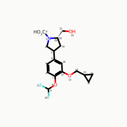 O=C(O)N1CC(c2ccc(OC(F)F)c(OCC3CC3)c2)C[C@H]1CO